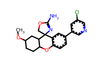 COC1CCC2Oc3ccc(-c4cncc(Cl)c4)cc3C3(COC(N)=N3)C2C1